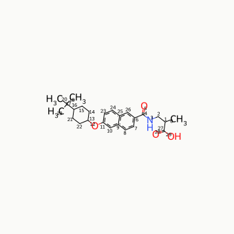 CC(CNC(=O)c1ccc2cc(OC3CCC(C(C)(C)C)CC3)ccc2c1)C(=O)O